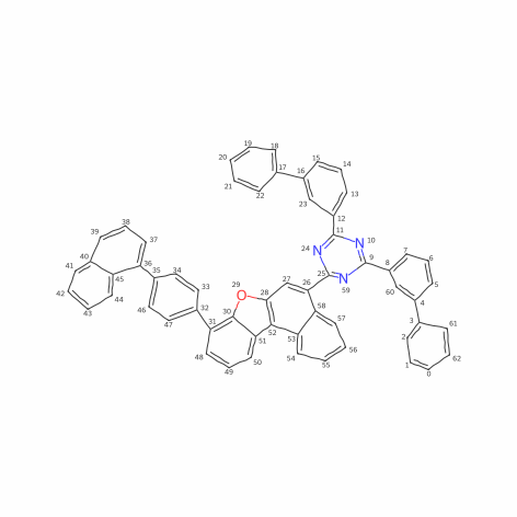 c1ccc(-c2cccc(-c3nc(-c4cccc(-c5ccccc5)c4)nc(-c4cc5oc6c(-c7ccc(-c8cccc9ccccc89)cc7)cccc6c5c5ccccc45)n3)c2)cc1